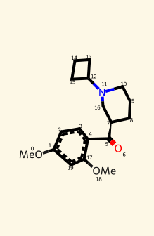 COc1ccc(C(=O)[C@@H]2CCCN(C3CCC3)C2)c(OC)c1